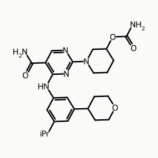 CC(C)c1cc(Nc2nc(N3CCCC(OC(N)=O)C3)ncc2C(N)=O)cc(C2CCOCC2)c1